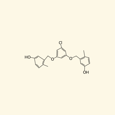 Cc1ccc(O)cc1COc1cc(Cl)cc(OCc2cc(O)ccc2C)c1